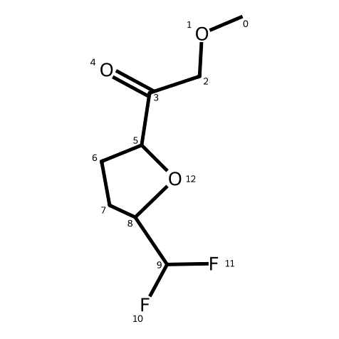 COCC(=O)C1CCC(C(F)F)O1